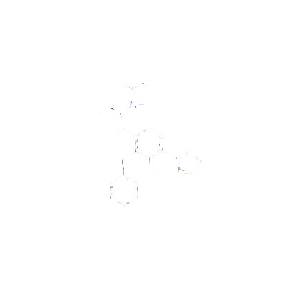 CCC(=O)N[C@@H](Cc1ccc(-c2ccsc2)c(S)c1Cc1ccccc1)C(=O)O